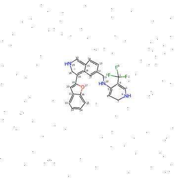 FC(F)(F)C1=CNCC=C1NCc1ccc2c(c1)=C(c1cc3ccccc3o1)CNC=2